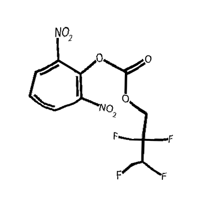 O=C(OCC(F)(F)C(F)F)Oc1c([N+](=O)[O-])cccc1[N+](=O)[O-]